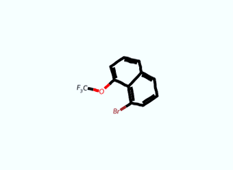 FC(F)(F)Oc1cccc2cccc(Br)c12